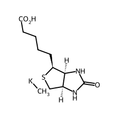 O=C(O)CCCC[C@@H]1SC[C@@H]2NC(=O)N[C@@H]21.[CH3][K]